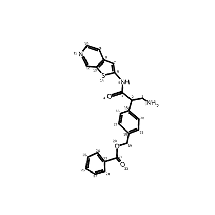 NCC(C(=O)Nc1cc2ccncc2s1)c1ccc(COC(=O)c2ccccc2)cc1